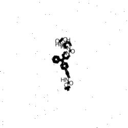 CC(C)(C)OC(=O)NCC#Cc1ccc(C(c2ccccc2)C2CCN(C(=O)N3CC[C@@H]4OCC(=O)N[C@@H]4C3)CC2)cc1